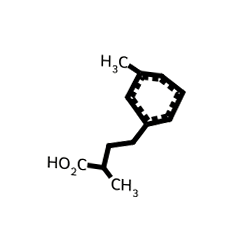 Cc1cccc(CCC(C)C(=O)O)c1